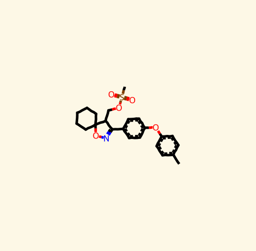 Cc1ccc(Oc2ccc(C3=NOC4(CCCCC4)C3COS(C)(=O)=O)cc2)cc1